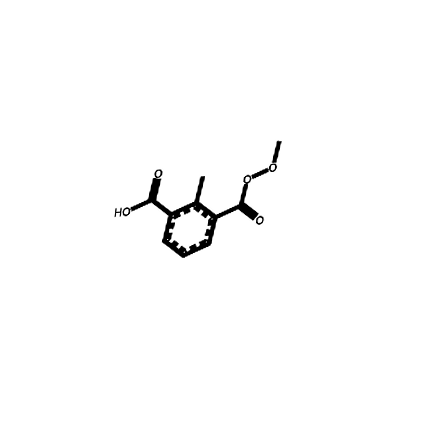 COOC(=O)c1cccc(C(=O)O)c1C